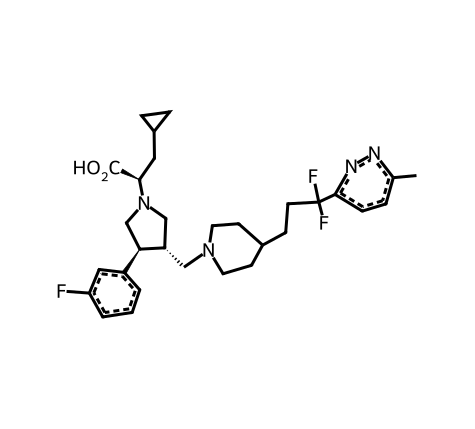 Cc1ccc(C(F)(F)CCC2CCN(C[C@H]3CN([C@H](CC4CC4)C(=O)O)C[C@@H]3c3cccc(F)c3)CC2)nn1